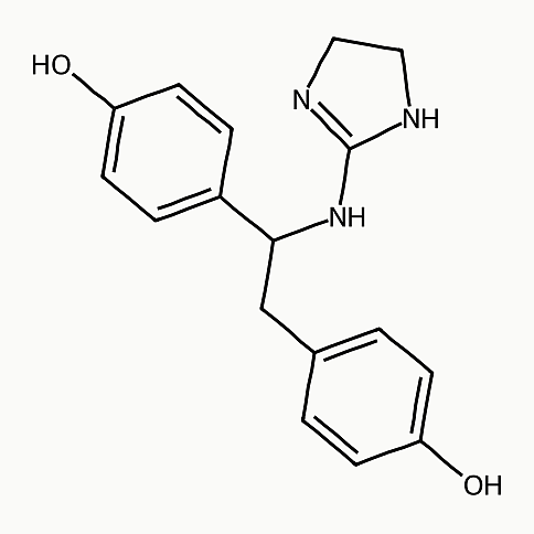 Oc1ccc(CC(NC2=NCCN2)c2ccc(O)cc2)cc1